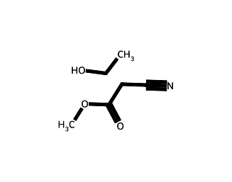 CCO.COC(=O)CC#N